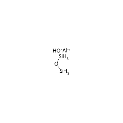 [Al+].[OH-].[SiH3]O[SiH3]